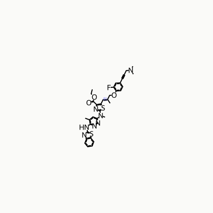 CCOC(=O)c1nc(N(C)c2cc(C)c(Nc3nc4ccccc4s3)nn2)sc1/C=C(\C)COc1ccc(C#CCN(C)C)cc1F